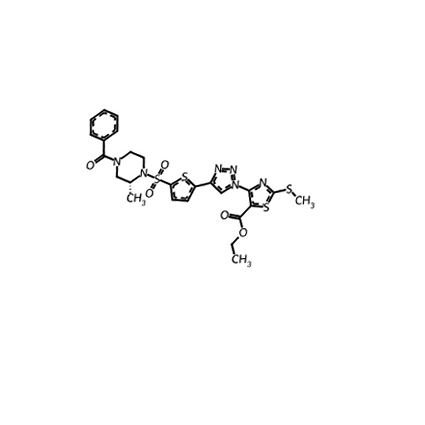 CCOC(=O)c1sc(SC)nc1-n1cc(-c2ccc(S(=O)(=O)N3CCN(C(=O)c4ccccc4)C[C@H]3C)s2)nn1